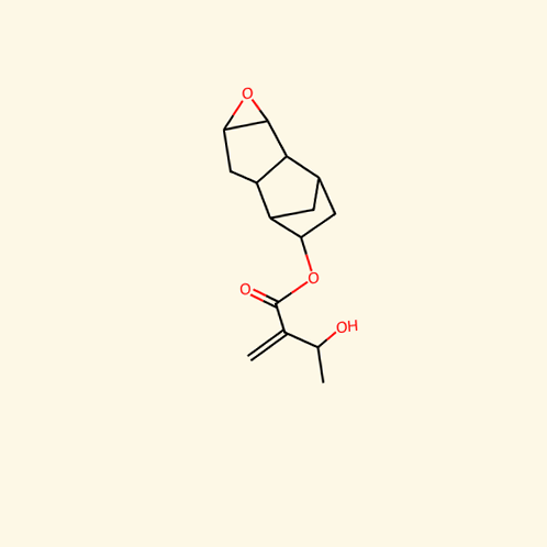 C=C(C(=O)OC1CC2CC1C1CC3OC3C21)C(C)O